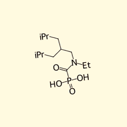 CCN(CC(CC(C)C)CC(C)C)C(=O)P(=O)(O)O